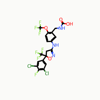 O=C(O)NCc1cc(NC2=NOC(c3cc(Cl)c(F)c(Cl)c3)(C(F)(F)F)C2)ccc1OC(F)(F)F